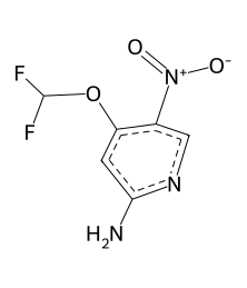 Nc1cc(OC(F)F)c([N+](=O)[O-])cn1